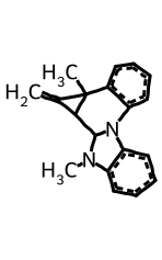 C=C1C2C3N(C)c4ccccc4N3c3ccccc3C12C